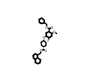 COc1cc(F)c(O[C@H]2CC[C@@H](C(=O)OCc3cccc4ccccc34)CC2)cc1C(=O)OCc1ccccc1